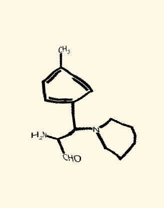 Cc1ccc(C(C(N)C=O)N2CCCCC2)cc1